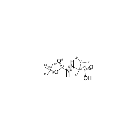 CC(C)C(C)(NNC(=O)OC(C)(C)C)C(=O)O